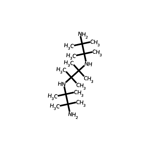 CC(C)(N)C(C)(C)NC(C)(C)C(C)(C)NC(C)(C)C(C)(C)N